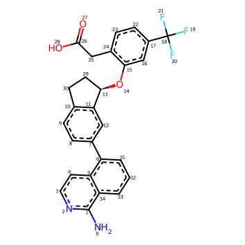 Nc1nccc2c(-c3ccc4c(c3)[C@H](Oc3cc(C(F)(F)F)ccc3CC(=O)O)CC4)cccc12